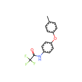 Cc1ccc(Oc2ccc(NC(=O)C(F)(F)F)cc2)cc1